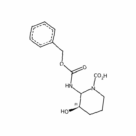 O=C(NC1[C@H](O)CCCN1C(=O)O)OCc1ccccc1